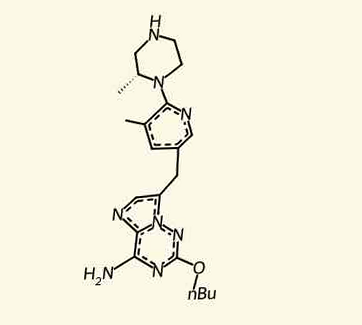 CCCCOc1nc(N)c2ncc(Cc3cnc(N4CCNC[C@H]4C)c(C)c3)n2n1